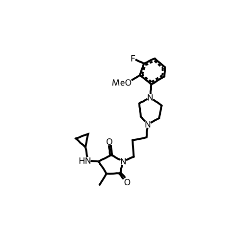 COc1c(F)cccc1N1CCN(CCCN2C(=O)C(C)C(NC3CC3)C2=O)CC1